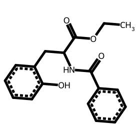 CCOC(=O)C(Cc1ccccc1O)NC(=O)c1ccccc1